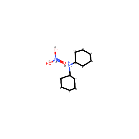 C1CCC(NC2CCCCC2)CC1.O=[N+]([O-])O